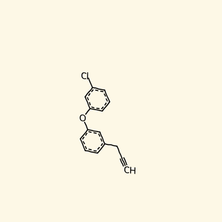 C#CCc1cccc(Oc2cccc(Cl)c2)c1